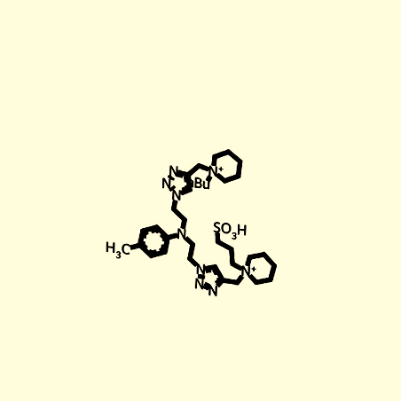 CCCC[N+]1(Cc2cn(CCN(CCn3cc(C[N+]4(CCCS(=O)(=O)O)CCCCC4)nn3)c3ccc(C)cc3)nn2)CCCCC1